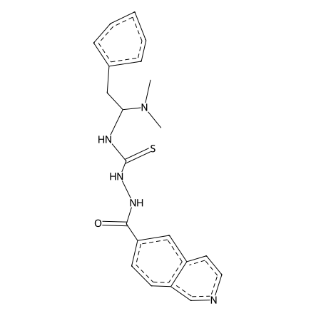 CN(C)C(Cc1ccccc1)NC(=S)NNC(=O)c1ccc2cnccc2c1